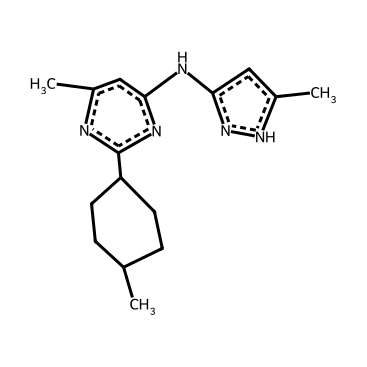 Cc1cc(Nc2cc(C)[nH]n2)nc(C2CCC(C)CC2)n1